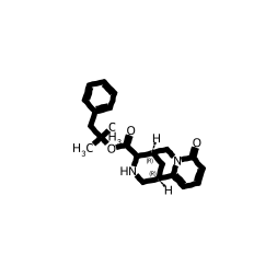 CC(C)(Cc1ccccc1)OC(=O)C1NC[C@H]2C[C@@H]1Cn1c2cccc1=O